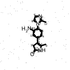 CC1=C(c2ccc(-n3ccnc3C)c(N)c2)CC(=O)N1